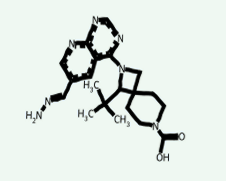 CC(C)(C)C1N(c2ncnc3ncc(/C=N/N)cc23)CC12CCN(C(=O)O)CC2